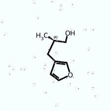 C[C@@H](CO)Cc1ccoc1